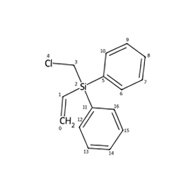 C=C[Si](CCl)(c1ccccc1)c1ccccc1